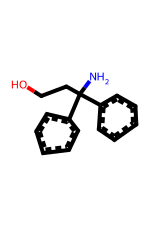 NC(CCO)(c1ccccc1)c1ccccc1